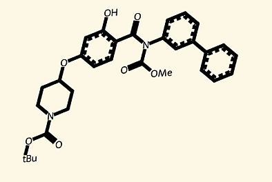 COC(=O)N(C(=O)c1ccc(OC2CCN(C(=O)OC(C)(C)C)CC2)cc1O)c1cccc(-c2ccccc2)c1